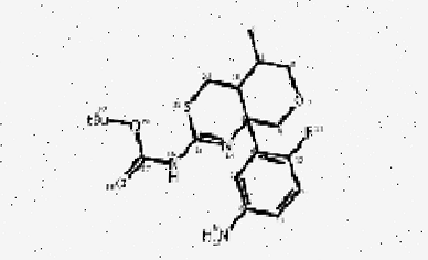 CC1COCC2(c3cc(N)ccc3F)N=C(NC(=O)OC(C)(C)C)SCC12